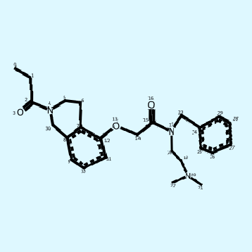 CCC(=O)N1CCc2c(cccc2OCC(=O)N(CCN(C)C)Cc2ccccc2)C1